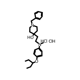 CCC(CC)Oc1ccc(N(C)CCC2(O)CCN(Cc3ccccc3)CC2)cc1.Cl.Cl